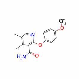 Cc1cnc(Oc2ccc(OC(F)(F)F)cc2)c(C(N)=O)c1C